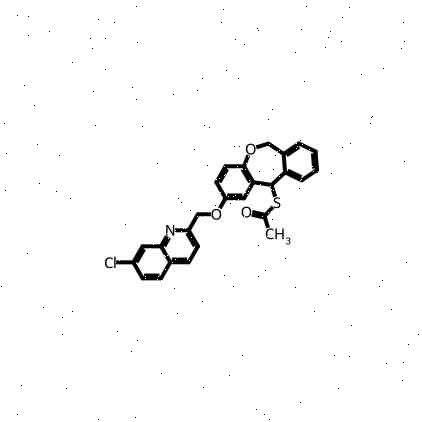 CC(=O)SC1c2ccccc2COc2ccc(OCc3ccc4ccc(Cl)cc4n3)cc21